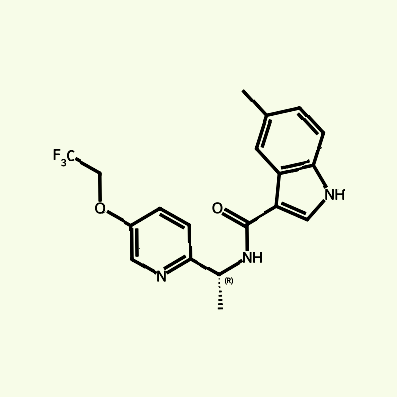 Cc1ccc2[nH]cc(C(=O)N[C@H](C)c3ccc(OCC(F)(F)F)cn3)c2c1